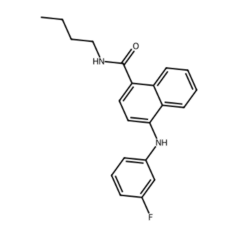 CCCCNC(=O)c1ccc(Nc2cccc(F)c2)c2ccccc12